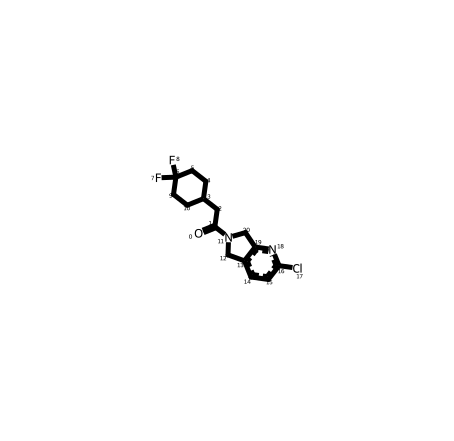 O=C(CC1CCC(F)(F)CC1)N1Cc2ccc(Cl)nc2C1